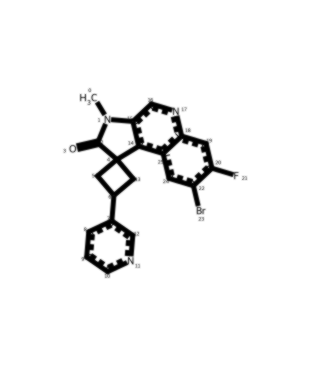 CN1C(=O)C2(CC(c3cccnc3)C2)c2c1cnc1cc(F)c(Br)cc21